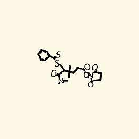 CN(C)C(=O)C(CSC(=S)c1ccccc1)C(C)(C)CCC(=O)ON1C(=O)CCC1=O